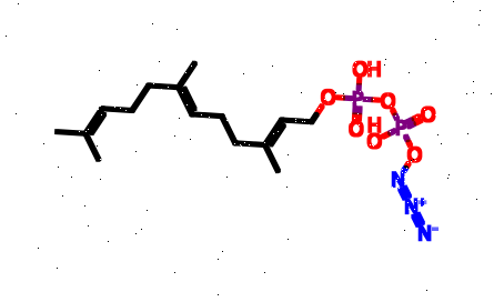 CC(C)=CCCC(C)=CCCC(C)=CCOP(=O)(O)OP(=O)(O)ON=[N+]=[N-]